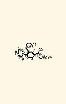 COC(=O)c1ccc(-c2ncncc2F)c(CO)c1